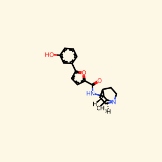 C[C@H]1[C@H](NC(=O)c2ccc(-c3cccc(O)c3)o2)C2CCN1CC2